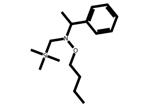 CCCCON(C[Si](C)(C)C)C(C)c1ccccc1